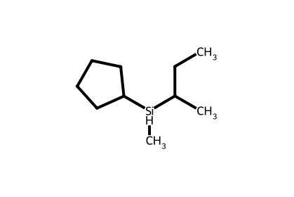 CCC(C)[SiH](C)C1CCCC1